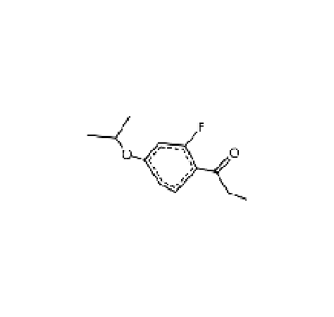 CCC(=O)c1ccc(OC(C)C)cc1F